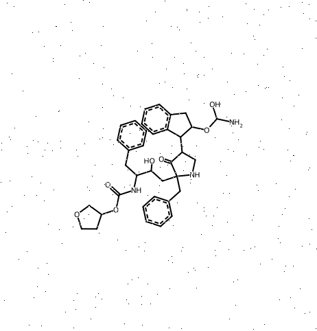 NC(O)OC1Cc2ccccc2C1C1CNC(Cc2ccccc2)(CC(O)C(Cc2ccccc2)NC(=O)OC2CCOC2)C1=O